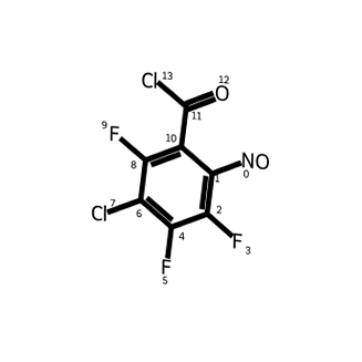 O=Nc1c(F)c(F)c(Cl)c(F)c1C(=O)Cl